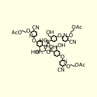 CCCC(OB(O)c1ccc(Oc2ccc(C#N)c(OCCOC(C)=O)n2)cc1CO)B(OB(O)c1ccc(Oc2ccc(C#N)c(OCCOC(C)=O)n2)cc1CO)c1ccc(Oc2ccc(C#N)c(OCCOC(C)=O)n2)cc1CO